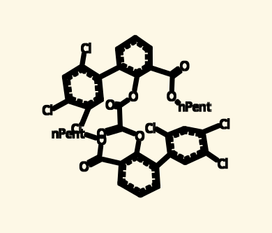 CCCCCOC(=O)c1cccc(-c2cc(Cl)c(Cl)cc2Cl)c1OC(=O)C(=O)Oc1c(C(=O)OCCCCC)cccc1-c1cc(Cl)c(Cl)cc1Cl